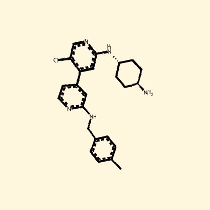 Cc1ccc(CNc2cc(-c3cc(N[C@H]4CC[C@H](N)CC4)ncc3Cl)ccn2)cc1